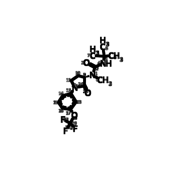 CN(C(=O)NC(C)(C)C)[C@H]1CCN(c2cccc(OC(F)(F)F)c2)C1=O